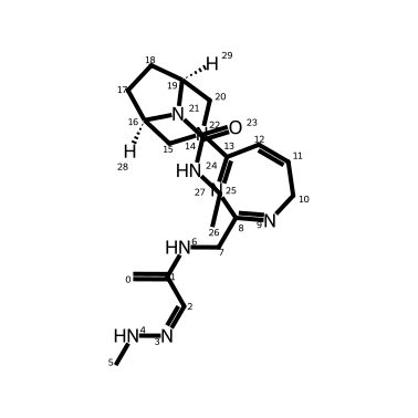 C=C(/C=N\NC)NCC1=NCC=CC(N2C[C@H]3CC[C@@H](C2)N3C(=O)NCC)=N1